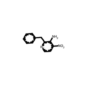 Nc1c([N+](=O)[O-])ccnc1Cc1ccccc1